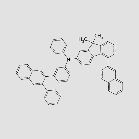 CC1(C)c2cc(N(c3ccccc3)c3cccc(-c4cc5ccccc5cc4-c4ccccc4)c3)ccc2-c2c(-c3ccc4ccccc4c3)cccc21